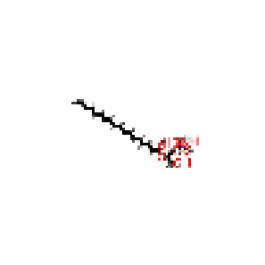 CCCCCCC=CCCCCCCCCCC(=O)OC(CO)COP(=O)(O)O